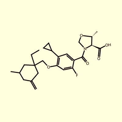 C=C1CC(C)CC(CC)(COc2cc(F)c(C(=O)N3CO[C@H](C)[C@H]3C(=O)O)cc2C2CC2)C1